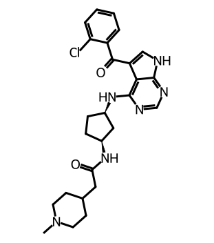 CN1CCC(CC(=O)N[C@H]2CC[C@@H](Nc3ncnc4[nH]cc(C(=O)c5ccccc5Cl)c34)C2)CC1